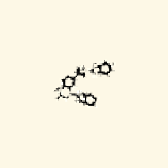 CC1CN(c2nc3ccccc3o2)c2cc(-c3cnn(-c4nc5ccccc5o4)c3)ccc2N1C